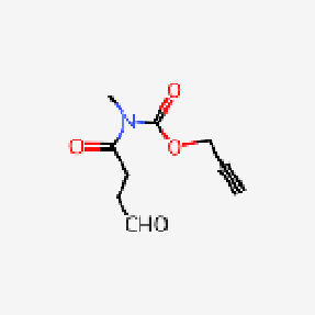 C#CCOC(=O)N(C)C(=O)CCC=O